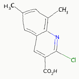 Cc1cc(C)c2nc(Cl)c(C(=O)O)cc2c1